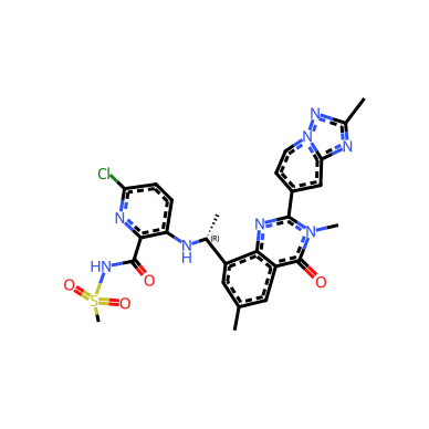 Cc1cc([C@@H](C)Nc2ccc(Cl)nc2C(=O)NS(C)(=O)=O)c2nc(-c3ccn4nc(C)nc4c3)n(C)c(=O)c2c1